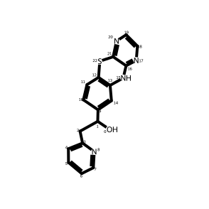 OC(Cc1ccccn1)c1ccc2c(c1)Nc1nccnc1S2